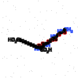 NCC(=O)NCCOCCNC(=O)COCCOCCNC(=O)CC[C@H](NC(=O)CCCCCCCCCCCCCCC(=O)O)C(=O)O